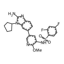 COc1ncc(-c2ccc3nc(N)n(C4CCCC4)c3c2)cc1NS(=O)(=O)c1ccc(F)cc1F